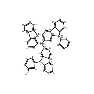 Fc1cccc(-n2c3ccccc3c3ccc(N(c4ccc5c6ccccc6n(-c6ccccc6)c5c4)c4cccc5c4oc4ccccc45)cc32)c1